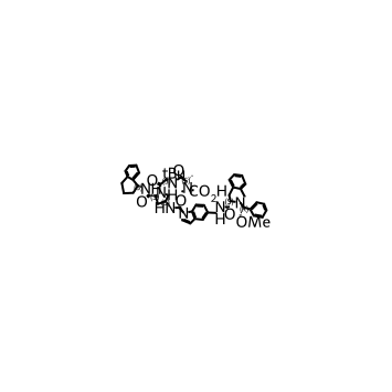 COC[C@@H](c1ccccc1)N1Cc2ccccc2C[C@H]1C(=O)NCc1ccc2c(ccn2C(=O)N[C@H]2C[C@@H](C(=O)N[C@H]3CCCc4ccccc43)N(C(=O)[C@@H](NC(=O)[C@H](C)N(C)C(=O)O)C(C)(C)C)C2)c1